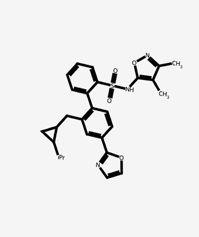 Cc1noc(NS(=O)(=O)c2ccccc2-c2ccc(-c3ncco3)cc2CC2CC2C(C)C)c1C